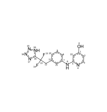 Oc1ccnc(Nc2cccc(CC(F)(F)c3nnn[nH]3)c2)c1